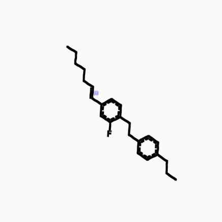 CCCCC/C=C/c1ccc(CCc2ccc(CCC)cc2)c(F)c1